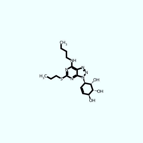 CCCCNc1nc(SCCC)nc2c1nnn2[C@@H]1C=C[C@H](O)[C@@H](O)[C@H]1O